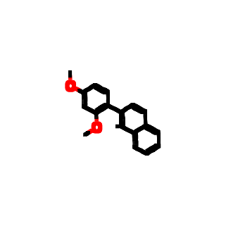 COc1ccc(-c2[c]c3ccccc3cc2)c(OC)c1